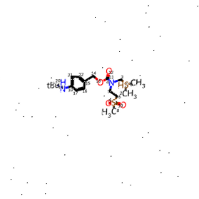 C[SH](C)CN(CCS(C)(=O)=O)C(=O)OCc1ccc(NC(C)(C)C)cc1